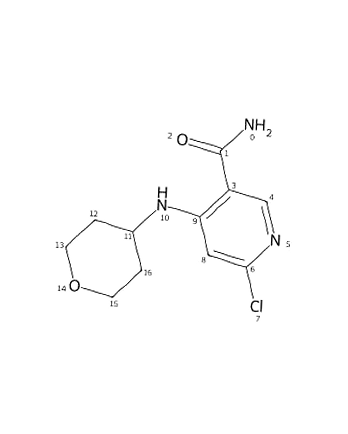 NC(=O)c1cnc(Cl)cc1NC1CCOCC1